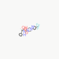 C[C@H]1C(c2ccccc2)[C@]1(NS(=O)(=O)N1CCN(c2ccc(C(F)(F)F)cn2)CC1)C(=O)O